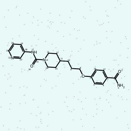 NC(=O)c1ccc(OCCCC2CCN(C(=O)Nc3cccnc3)CC2)cc1